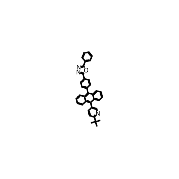 CC(C)(C)c1ccc(-c2c3ccccc3c(-c3ccc(-c4nnc(-c5ccccc5)o4)cc3)c3ccccc23)cn1